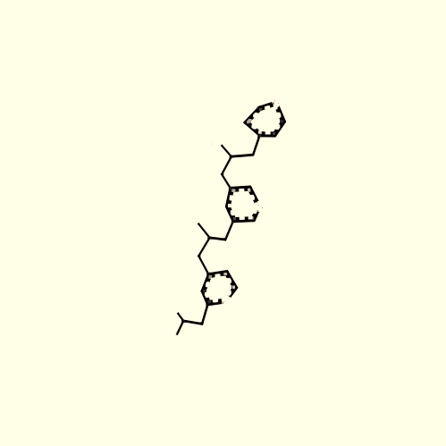 CC(C)Cc1cc(CC(C)Cc2cncc(CC(C)Cc3ccncc3)c2)ccn1